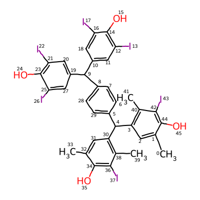 Cc1cc(C(c2ccc(C(c3cc(I)c(O)c(I)c3)c3cc(I)c(O)c(I)c3)cc2)c2cc(C)c(O)c(I)c2C)c(C)c(I)c1O